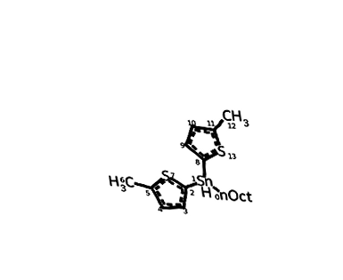 CCCCCCC[CH2][SnH]([c]1ccc(C)s1)[c]1ccc(C)s1